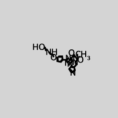 Cn1c(=O)c2nc(-c3ccc(OCCNCCO)cc3)nnc2n(Cc2cccnc2)c1=O